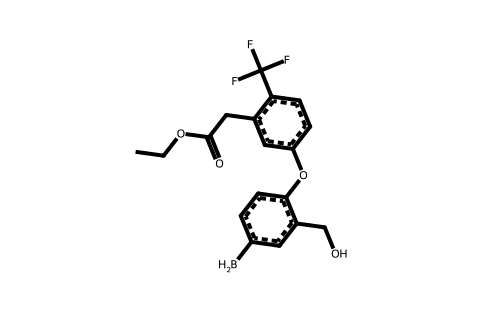 Bc1ccc(Oc2ccc(C(F)(F)F)c(CC(=O)OCC)c2)c(CO)c1